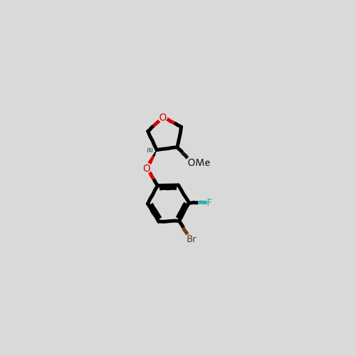 COC1COC[C@@H]1Oc1ccc(Br)c(F)c1